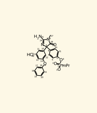 CCCS(=O)(=O)Oc1ccc(C2(c3cccc(Oc4ccccc4)c3)N=C(N)N(C)C2=O)cc1.Cl